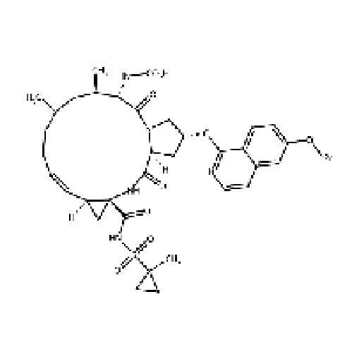 CC(C)Oc1ccc2c(O[C@@H]3C[C@H]4C(=O)N[C@]5(C(=O)NS(=O)(=O)C6(C)CC6)C[C@H]5C=CCC[C@H](C)C[C@@H](C)[C@H](NC(=O)O)C(=O)N4C3)nccc2c1